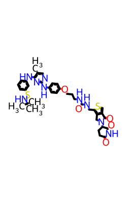 Cc1cnc(Nc2ccc(OCCCNC(=O)NCc3scc4c3CN(C3CCC(=O)NC3=O)C4=O)cc2)nc1Nc1cccc(SNC(C)(C)C)c1